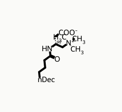 CCCCCCCCCCCCCC(=O)N[C@H](CC(=O)[O-])C[N+](C)(C)C